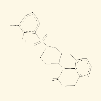 Cc1cccc(S(=O)(=O)N2CCC(N3C(=O)OCc4cccc(C)c43)CC2)c1O